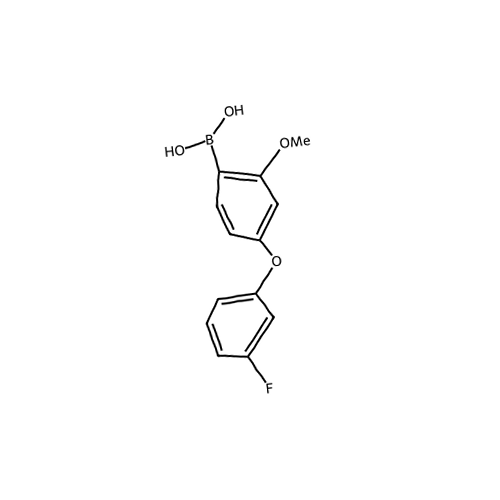 COc1cc(Oc2cccc(F)c2)ccc1B(O)O